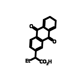 CCC(C(=O)O)c1ccc2c(c1)C(=O)C1=CCCC=C1C2=O